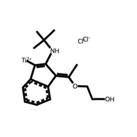 CC(OCCO)=C1C(NC(C)(C)C)=[C]([Ti+2])c2ccccc21.[Cl-].[Cl-]